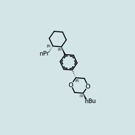 CCCC[C@H]1CO[C@H](c2ccc([C@@H]3CCCC[C@H]3CCC)cc2)CO1